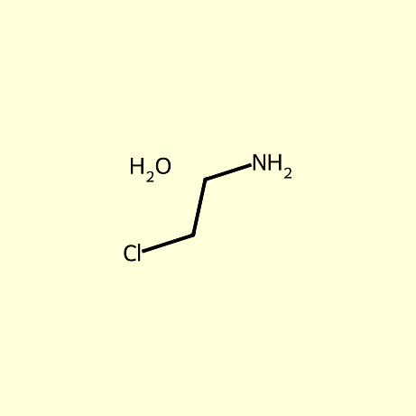 NCCCl.O